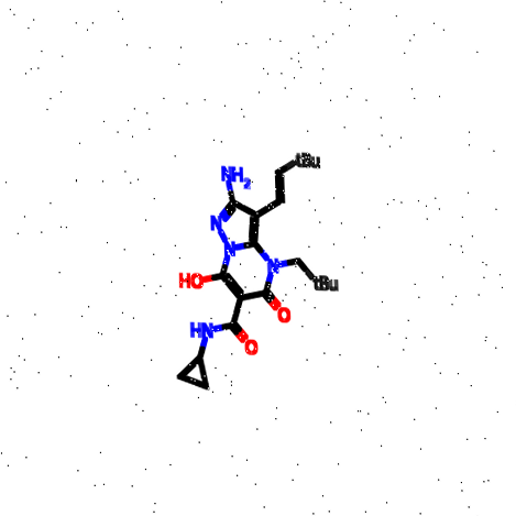 CC(C)(C)/C=C/c1c(N)nn2c(O)c(C(=O)NC3CC3)c(=O)n(CC(C)(C)C)c12